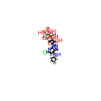 CC(F)(P(=O)(O)O)S(=O)(=O)C[C@H]1O[C@@H](n2nnc3c(NC4CCCC4)cc(Cl)nc32)[C@H](O)[C@@H]1O